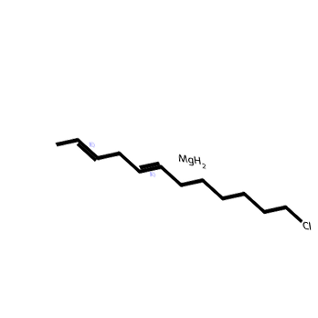 C/C=C/C/C=C/CCCCCCCl.[MgH2]